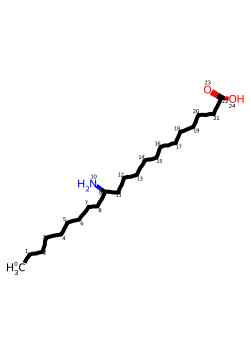 CCCCCCCCCC(N)CCCCCCCCCCCC(=O)O